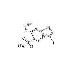 CCCCOc1cc2ncc(I)n2cc1S(=O)(=O)C(C)(C)C